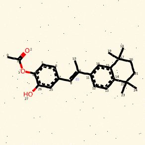 CC(=O)Oc1ccc(/C=C(\C)c2ccc3c(c2)C(C)(C)CCC3(C)C)cc1O